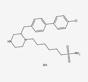 NS(=O)(=O)CCCCCCN1CCNCC1Cc1ccc(-c2ccc(Cl)cc2)cc1.[KH]